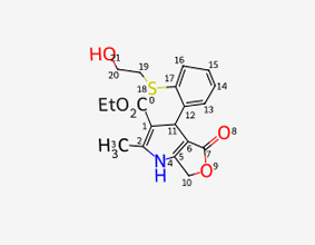 CCOC(=O)C1=C(C)NC2=C(C(=O)OC2)C1c1ccccc1SCCO